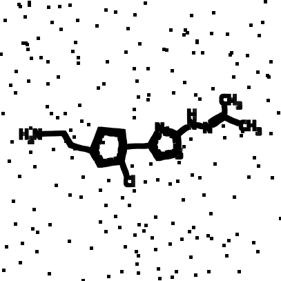 CC(C)=NNc1nc(-c2ccc(CCN)cc2Cl)cs1